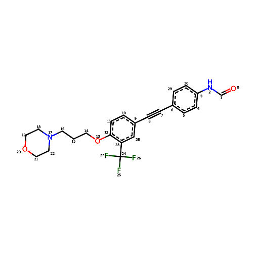 O=CNc1ccc(C#Cc2ccc(OCCCN3CCOCC3)c(C(F)(F)F)c2)cc1